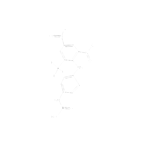 CC(=O)Nc1ccc(Nc2c([N+](=O)[O-])cc([N+](=O)[O-])cc2C(F)(F)F)cc1